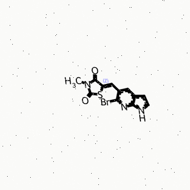 CN1C(=O)S/C(=C\c2cc3cc[nH]c3nc2Br)C1=O